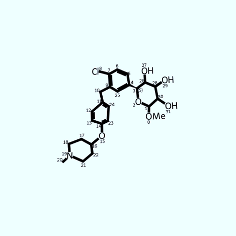 COC1O[C@@H](c2ccc(Cl)c(Cc3ccc(OC4CCN(C)CC4)cc3)c2)C(O)C(O)C1O